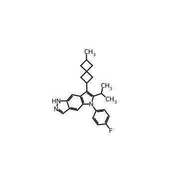 CC1CC2(C1)CC(c1c(C(C)C)n(-c3ccc(F)cc3)c3cc4cn[nH]c4cc13)C2